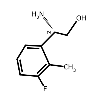 Cc1c(F)cccc1[C@H](N)CO